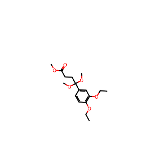 CCOc1ccc(C(CCC(=O)OC)(OC)OC)cc1OCC